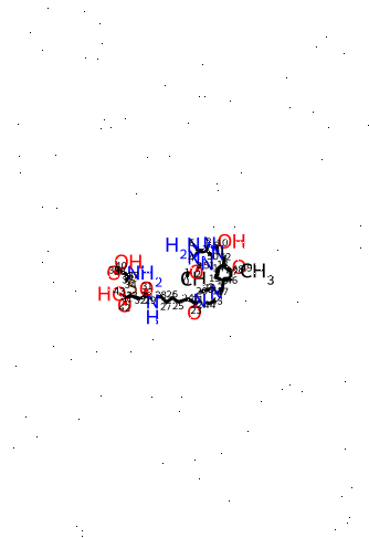 CCOc1nc(N)c2nc(O)n(Cc3ccc(CN4CCN(C(=O)CCCCCNC(=O)CC(SC[C@@H](N)C(=O)O)C(=O)O)CC4)cc3OC)c2n1